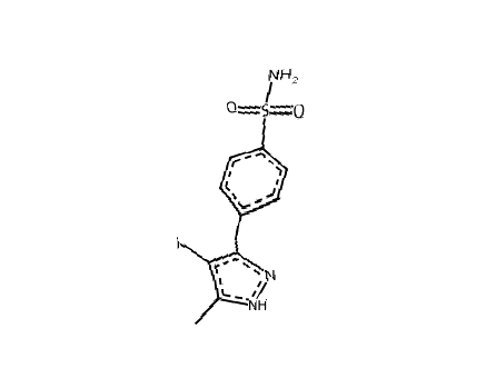 Cc1[nH]nc(-c2ccc(S(N)(=O)=O)cc2)c1I